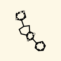 c1ccc(-c2nc3c(o2)CC(c2cnccn2)CC3)cc1